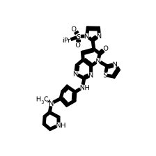 CC(C)S(=O)(=O)n1ccnc1-c1cc2cnc(Nc3ccc(N(C)C4CCCNC4)cc3)nc2n(-c2nccs2)c1=O